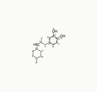 CC1CCC(NC(C)Cc2ccc(O)c(O)c2)CC1